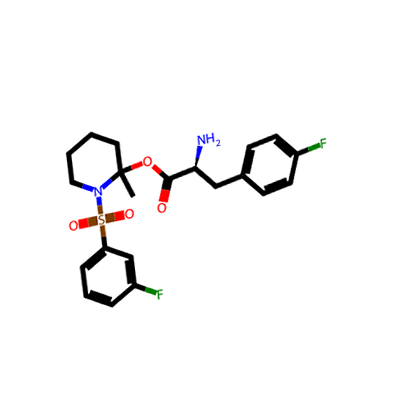 CC1(OC(=O)[C@@H](N)Cc2ccc(F)cc2)CCCCN1S(=O)(=O)c1cccc(F)c1